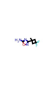 CC1(c2noc(N)n2)CC(F)(F)C1